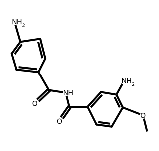 COc1ccc(C(=O)NC(=O)c2ccc(N)cc2)cc1N